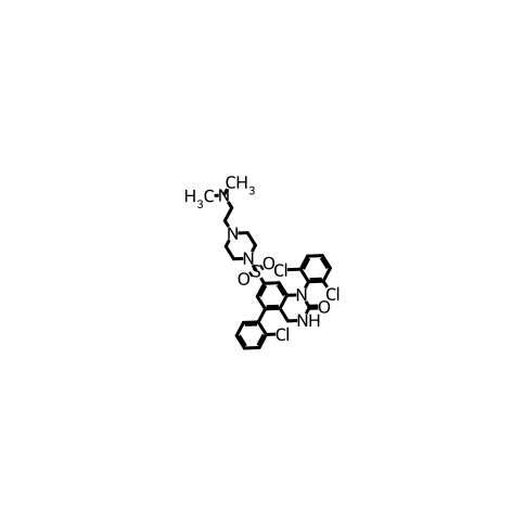 CN(C)CCN1CCN(S(=O)(=O)c2cc(-c3ccccc3Cl)c3c(c2)N(c2c(Cl)cccc2Cl)C(=O)NC3)CC1